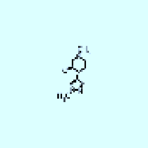 CN1CCN(c2cnn(C)c2)C(=O)C1